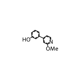 COc1cc(-c2cccc(O)c2)ccn1